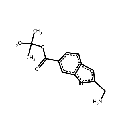 CC(C)(C)OC(=O)c1ccc2cc(CN)[nH]c2c1